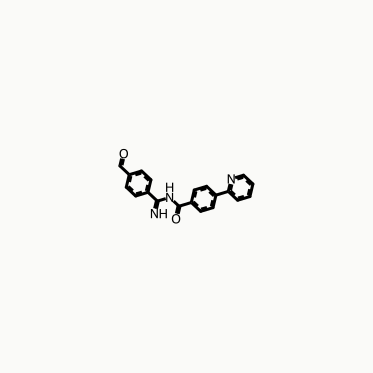 N=C(NC(=O)c1ccc(-c2ccccn2)cc1)c1ccc(C=O)cc1